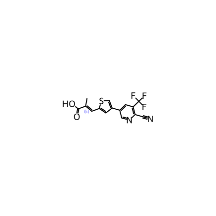 C/C(=C\c1cc(-c2cnc(C#N)c(C(F)(F)F)c2)cs1)C(=O)O